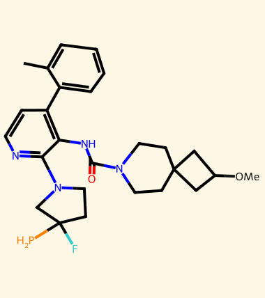 COC1CC2(CCN(C(=O)Nc3c(-c4ccccc4C)ccnc3N3CCC(F)(P)C3)CC2)C1